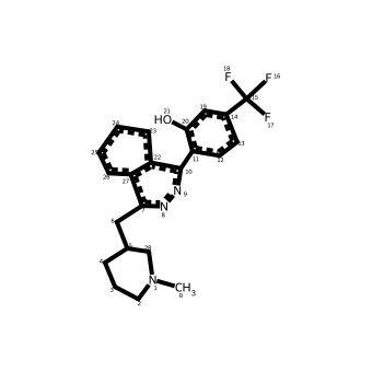 CN1CCCC(Cc2nnc(-c3ccc(C(F)(F)F)cc3O)c3ccccc23)C1